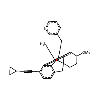 COC1CCC2(CC1)Cc1ccc(C#CC3CC3)cc1C21N=C(N)N(Cc2cccnc2)C1=O